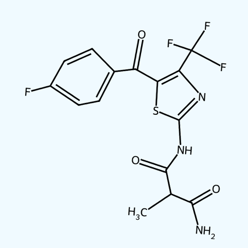 CC(C(N)=O)C(=O)Nc1nc(C(F)(F)F)c(C(=O)c2ccc(F)cc2)s1